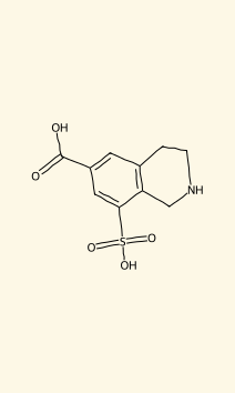 O=C(O)c1cc2c(c(S(=O)(=O)O)c1)CNCC2